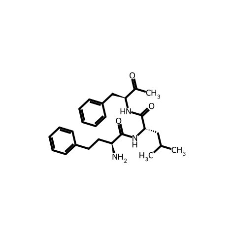 CC(=O)[C@H](Cc1ccccc1)NC(=O)[C@H](CC(C)C)NC(=O)[C@@H](N)CCc1ccccc1